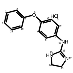 Cl.c1ccc(Oc2ccc(NC3=NCCN3)cc2)cc1